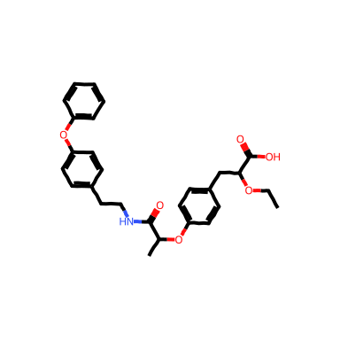 CCOC(Cc1ccc(OC(C)C(=O)NCCc2ccc(Oc3ccccc3)cc2)cc1)C(=O)O